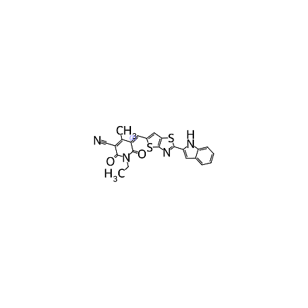 CCN1C(=O)C(C#N)=C(C)/C(=C/c2cc3sc(-c4cc5ccccc5[nH]4)nc3s2)C1=O